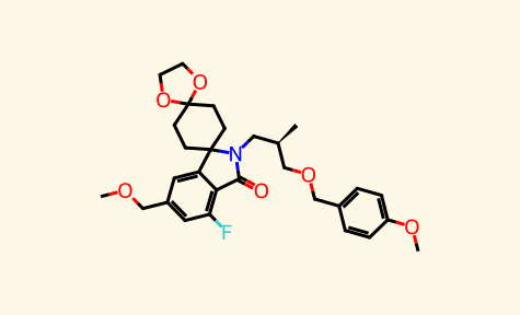 COCc1cc(F)c2c(c1)C1(CCC3(CC1)OCCO3)N(C[C@@H](C)COCc1ccc(OC)cc1)C2=O